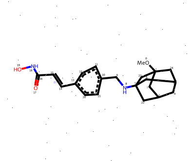 COC12CC3CC(CC(NCc4ccc(/C=C/C(=O)NO)cc4)(C3)C1)C2